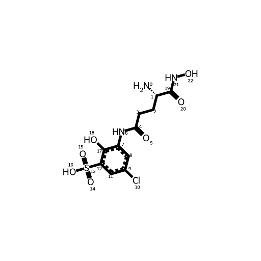 N[C@@H](CCC(=O)Nc1cc(Cl)cc(S(=O)(=O)O)c1O)C(=O)NO